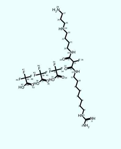 N=C(N)NCCCCCCCCNC(=O)C(F)C(=O)NCCCCNCCCN.O=C(O)C(F)(F)F.O=C(O)C(F)(F)F.O=C(O)C(F)(F)F